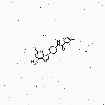 Cc1csc(C(=O)NC2CCC(n3cnc4c(N)nc(Cl)nc43)CC2)n1